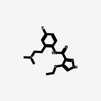 CCOc1c[nH]nc1C(=O)Nc1ccc(F)cc1CCN(C)C